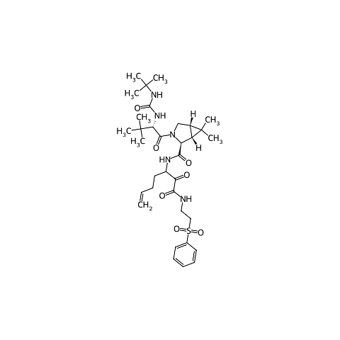 C=CCCC(NC(=O)[C@@H]1[C@@H]2[C@H](CN1C(=O)[C@@H](NC(=O)NC(C)(C)C)C(C)(C)C)C2(C)C)C(=O)C(=O)NCCS(=O)(=O)c1ccccc1